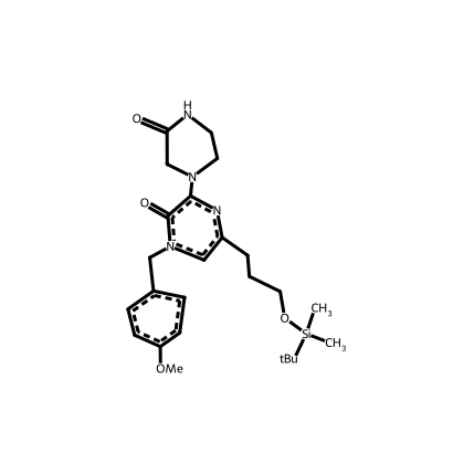 COc1ccc(Cn2cc(CCCO[Si](C)(C)C(C)(C)C)nc(N3CCNC(=O)C3)c2=O)cc1